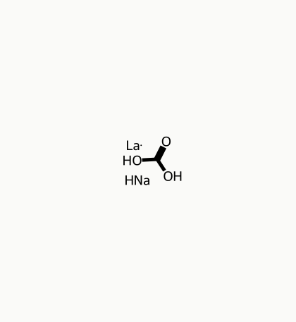 O=C(O)O.[La].[NaH]